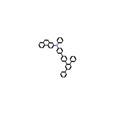 c1ccc(-c2ccc(-c3ccccc3)c(-c3ccc(-c4ccc(N(c5ccccc5)c5ccc6c(ccc7ccccc76)c5)cc4)cc3)c2)cc1